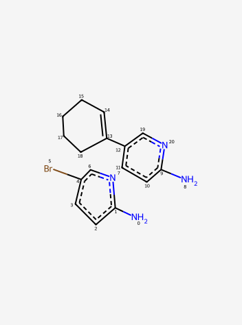 Nc1ccc(Br)cn1.Nc1ccc(C2=CCCCC2)cn1